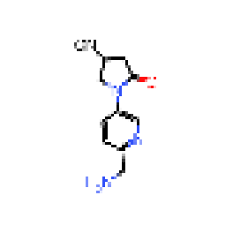 NCc1ccc(N2CC(N=O)CC2=O)cn1